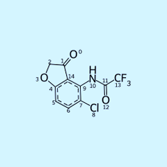 O=C1COc2ccc(Cl)c(NC(=O)C(F)(F)F)c21